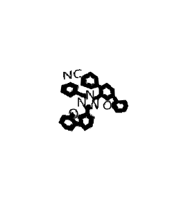 N#Cc1ccc(-c2ccc3c(oc4ccccc43)c2-c2nc(-c3ccccc3)nc(-c3cccc4c3oc3ccccc34)n2)cc1